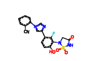 N#Cc1ccccc1-n1cnc(-c2ccc(O)c(N3CC(=O)NS3(=O)=O)c2F)c1